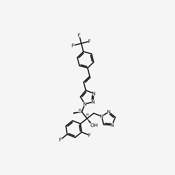 C[C@@H](n1cc(C=Cc2ccc(C(F)(F)F)cc2)nn1)[C@](O)(Cn1cncn1)c1ccc(F)cc1F